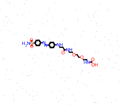 NS(=O)(=O)c1ccc(N=Nc2ccc(NCCC(=O)NCCOCCOCCNC(=O)O)cc2)cc1